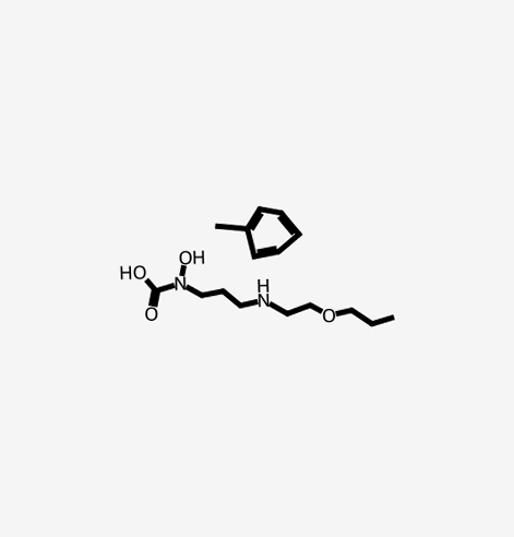 CCCOCCNCCCN(O)C(=O)O.Cc1ccccc1